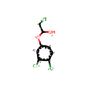 OC(CCl)Oc1ccc(Cl)c(Cl)c1